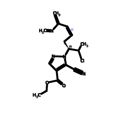 C=NC(=C)/C=C\C[C@H](C(C)Cl)n1ncc(C(=O)OCC)c1C#N